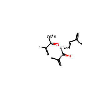 C=C(C)C(=O)OC.C=C(C)C(=O)OC.C=CC(=C)C